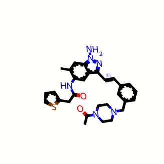 CC(=O)N1CCN(Cc2cccc(/C=C/c3nn(N)c4cc(C)c(NC(=O)Cc5cccs5)cc34)c2)CC1